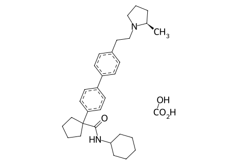 C[C@@H]1CCCN1CCc1ccc(-c2ccc(C3(C(=O)NC4CCCCC4)CCCC3)cc2)cc1.O=C(O)O